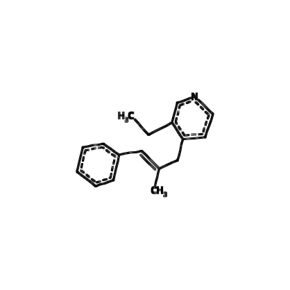 CCc1cnccc1CC(C)=Cc1ccccc1